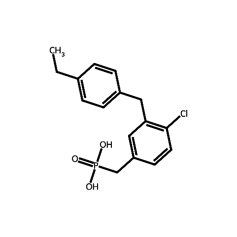 CCc1ccc(Cc2cc(CP(=O)(O)O)ccc2Cl)cc1